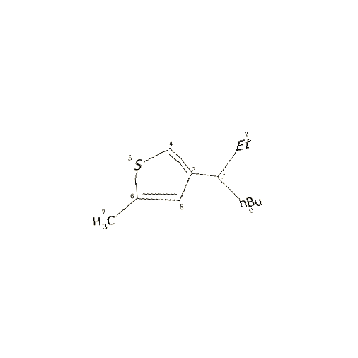 CCCCC(CC)c1csc(C)c1